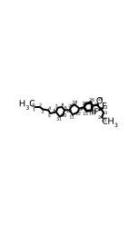 CCCCCCC1CCC(C2CCC(c3ccc(C(=O)C(F)(F)CCC)cc3)CC2)CC1